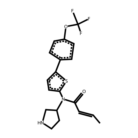 CC=CC(=O)N(c1ccc(-c2ccc(OC(F)(F)F)cc2)s1)C1CCNC1